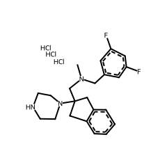 CN(Cc1cc(F)cc(F)c1)CC1(N2CCNCC2)Cc2ccccc2C1.Cl.Cl.Cl